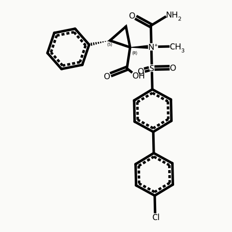 C[N+](C(N)=O)([C@]1(C(=O)O)C[C@H]1c1ccccc1)S(=O)(=O)c1ccc(-c2ccc(Cl)cc2)cc1